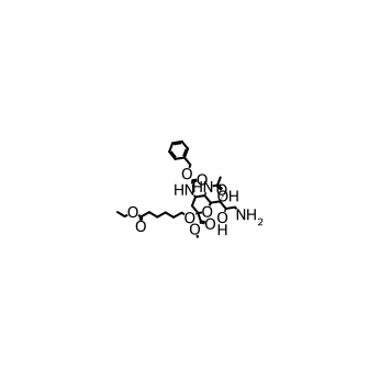 CCOC(=O)CCCCCO[C@]1(C(=O)OC)C[C@@H](NC(=O)OCc2ccccc2)[C@@H](NC(C)=O)C([C@H](O)[C@H](O)CN)O1